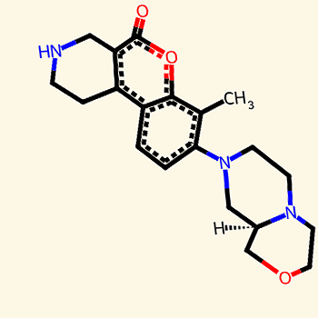 Cc1c(N2CCN3CCOC[C@H]3C2)ccc2c3c(c(=O)oc12)CNCC3